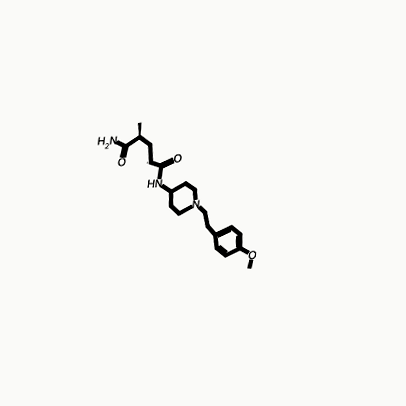 COc1ccc(CCN2CCC(NC(=O)[CH]C[C@H](C)C(N)=O)CC2)cc1